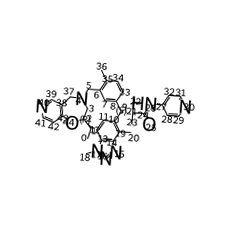 CC[C@@H]1CN(Cc2cc([C@@H](c3ccc4c(nnn4C)c3C)C(C)(C)C(=O)Nc3ccncc3)ccc2C)Cc2cnccc2O1